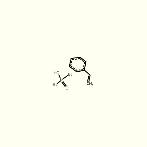 C=Cc1ccccc1.CCP(=O)(O)CC